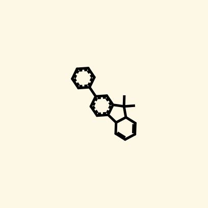 CC1(C)c2cc(-c3ccccc3)ccc2C2C=CC=CC21